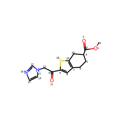 COC(=O)C1CCc2cc(C(=O)Cn3ccnc3)sc2C1